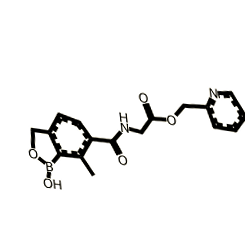 Cc1c(C(=O)NCC(=O)OCc2ccccn2)ccc2c1B(O)OC2